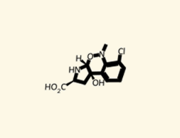 CN1O[C@H]2N[C@H](C(=O)O)C[C@@]2(O)c2cccc(Cl)c21